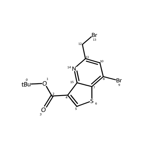 CC(C)(C)OC(=O)c1csc2c(Br)cc(CBr)nc12